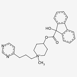 C[N+]1(CCCc2ccncn2)CCC(OC(=O)C2(O)c3ccccc3-c3ccccc32)CC1